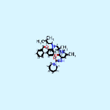 CC(C)CCN(CC(C)(C)NC(=O)C(CC(C)C)NC(=O)N1CCCCCC1)c1ccccc1OCc1ccccc1